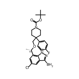 Bc1n[nH]c2c([C@H](C)OCC3(c4ccc(F)cc4)CCN(C(=O)OC(C)(C)C)CC3)cc(Cl)cc12